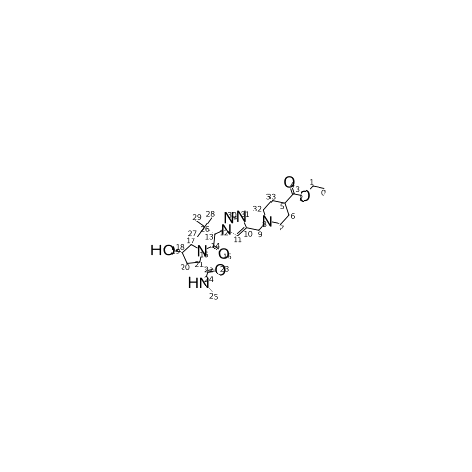 CCOC(=O)C1CCN(Cc2cn([C@H](C(=O)N3C[C@H](O)C[C@H]3C(=O)NC)C(C)(C)C)nn2)CC1